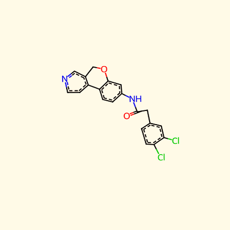 O=C(Cc1ccc(Cl)c(Cl)c1)Nc1ccc2c(c1)OCc1cnccc1-2